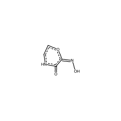 O=c1[nH]ccoc1=NO